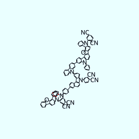 N#Cc1ccc(C#N)c(-n2c3ccccc3c3c4oc5c(ccc6c5c5ccc(-c7ccc8c9ccccc9n(-c9ccc%10c(c9)c9c%11ccc(-c%12ccc(N(c%13ccccc%13)c%13cc(C#N)c(C#N)cc%13-n%13c%14ccccc%14c%14c%15oc%16ccccc%16c%15ccc%14%13)cc%12)cc%11ccc9n%10-c9ccc(C#N)c(C#N)c9)c8c7)cc5n6-c5ccccc5)c4ccc32)c1